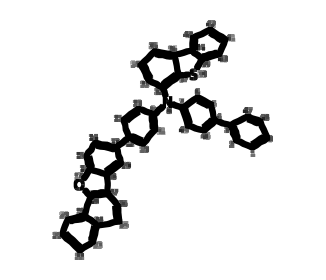 c1ccc(-c2ccc(N(c3ccc(-c4ccc5oc6c7ccccc7ccc6c5c4)cc3)c3cccc4c3sc3ccccc34)cc2)cc1